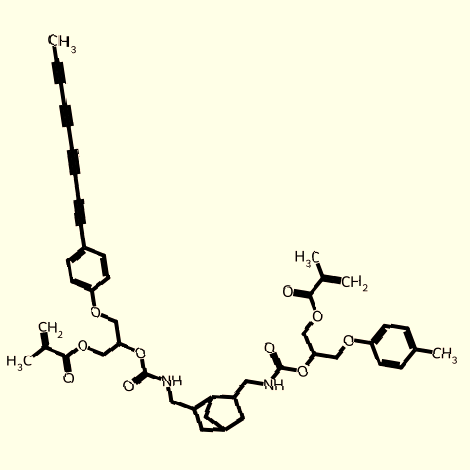 C=C(C)C(=O)OCC(COc1ccc(C)cc1)OC(=O)NCC1CC2CC(CNC(=O)OC(COC(=O)C(=C)C)COc3ccc(C#CC#CC#CC#CC)cc3)C1C2